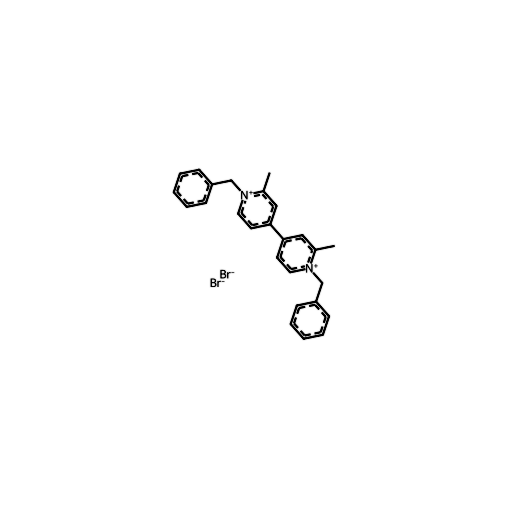 Cc1cc(-c2cc[n+](Cc3ccccc3)c(C)c2)cc[n+]1Cc1ccccc1.[Br-].[Br-]